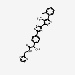 Cc1ccccc1-c1noc(-c2nc(-c3ccc(C(O)C(=O)NCc4ncco4)cc3)no2)c1C(F)(F)F